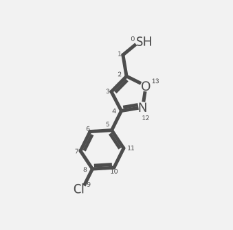 SCc1cc(-c2ccc(Cl)cc2)no1